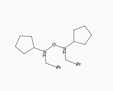 CC(C)C[SiH](O[SiH](CC(C)C)C1CCCC1)C1CCCC1